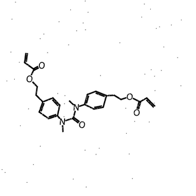 C=CC(=O)OCCc1ccc(N(C)C(=O)N(C)c2ccc(CCOC(=O)C=C)cc2)cc1